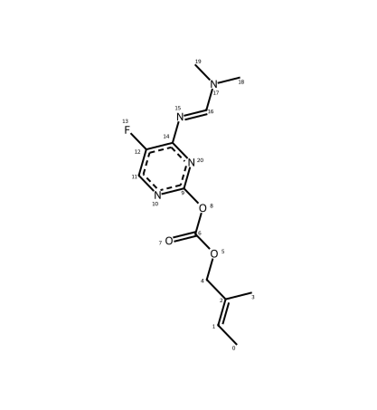 C/C=C(\C)COC(=O)Oc1ncc(F)c(/N=C/N(C)C)n1